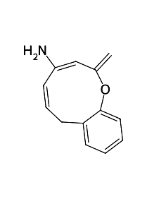 C=C1/C=C(N)\C=C/Cc2ccccc2O1